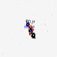 CCOc1c(C(=O)NC2CCN(C(=O)O)CC2)sc2cc(CC)n(CC(=O)c3ccccc3)c(=O)c12